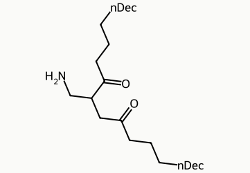 CCCCCCCCCCCCCC(=O)CC(CN)C(=O)CCCCCCCCCCCCC